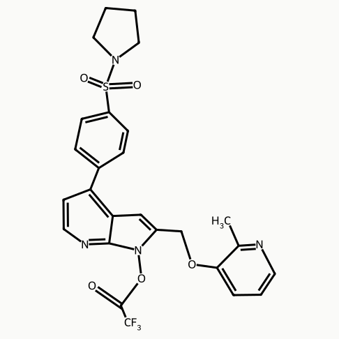 Cc1ncccc1OCc1cc2c(-c3ccc(S(=O)(=O)N4CCCC4)cc3)ccnc2n1OC(=O)C(F)(F)F